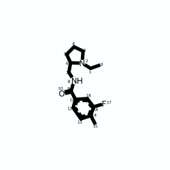 CCN1CCCC1CNC(=O)c1ccc(C)c(F)c1